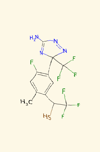 Cc1cc(F)c(C2(C(F)(F)F)N=NC(N)=N2)cc1C(S)C(F)(F)F